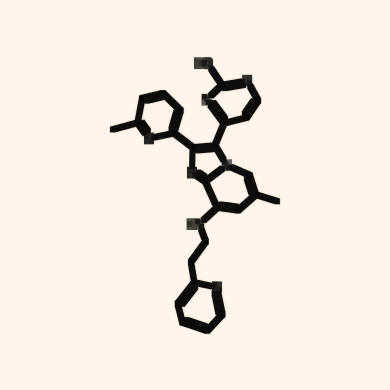 Cc1cc(NCCc2ccccn2)c2nc(-c3cccc(C)n3)c(-c3ccnc(O)n3)n2c1